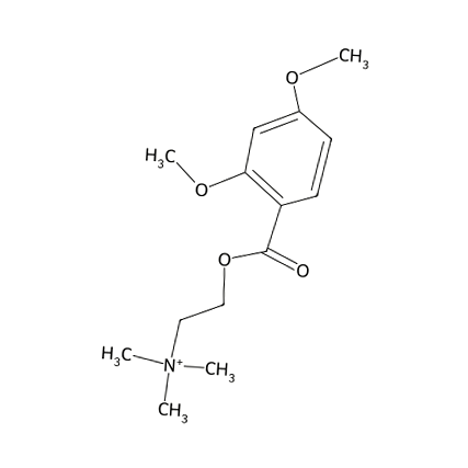 COc1ccc(C(=O)OCC[N+](C)(C)C)c(OC)c1